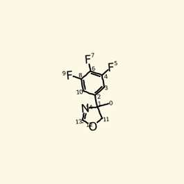 CC1(c2cc(F)c(F)c(F)c2)CO[C]=N1